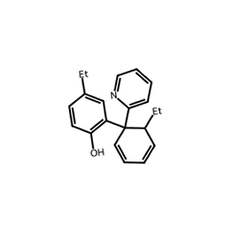 CCc1ccc(O)c(C2(c3ccccn3)C=CC=CC2CC)c1